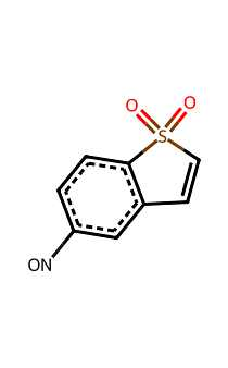 O=Nc1ccc2c(c1)C=CS2(=O)=O